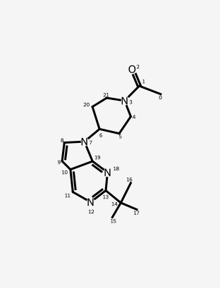 CC(=O)N1CCC(n2ccc3cnc(C(C)(C)C)nc32)CC1